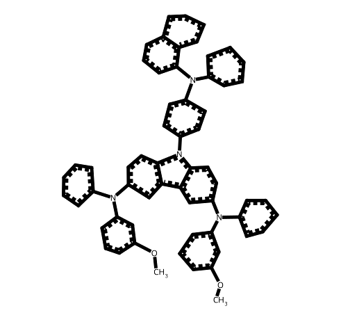 COc1cccc(N(c2ccccc2)c2ccc3c(c2)c2cc(N(c4ccccc4)c4cccc(OC)c4)ccc2n3-c2ccc(N(c3ccccc3)c3cccc4ccccc34)cc2)c1